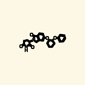 O=C1CCC(N2Cc3cc(O[C@@H]4CCCC[C@@H]4Oc4ccccc4)ccc3C2=O)C(=O)N1